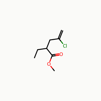 C=C(Cl)CC(CC)C(=O)OC